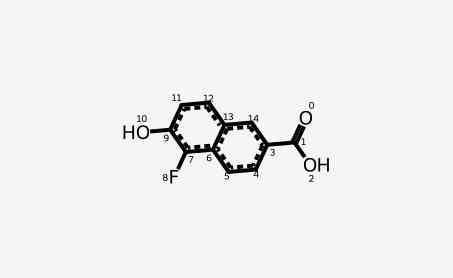 O=C(O)c1ccc2c(F)c(O)ccc2c1